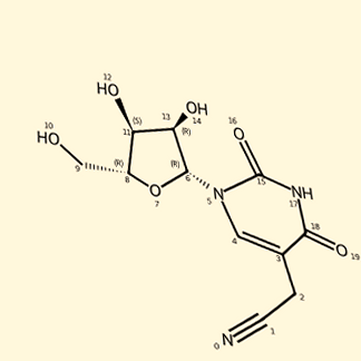 N#CCc1cn([C@@H]2O[C@H](CO)[C@@H](O)[C@H]2O)c(=O)[nH]c1=O